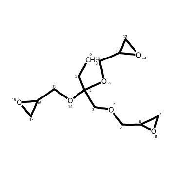 CCC(COCC1CO1)(OCC1CO1)OCC1CO1